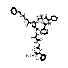 CCC[C@H](NC(=O)[C@@H]1CN(C(=O)CNC(=O)OCc2ccccc2)C[C@@H]1NC(=O)C(NC(=O)[C@@H](NC(=O)c1cnccn1)C1CCCCC1)C(C)(C)C)C(O)C(=O)NCC(=O)N[C@H](C(=O)N(C)C)c1ccccc1